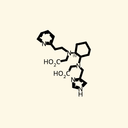 O=C(O)CN(Cc1c[nH]cn1)C1CCCC[C@@H]1N(CCc1ccccn1)CC(=O)O